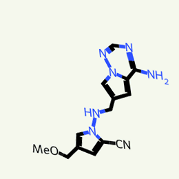 COCc1cc(C#N)n(NCc2cc3c(N)ncnn3c2)c1